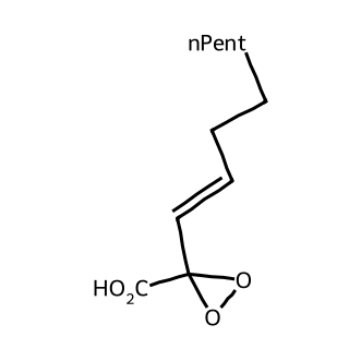 CCCCCCCC=CC1(C(=O)O)OO1